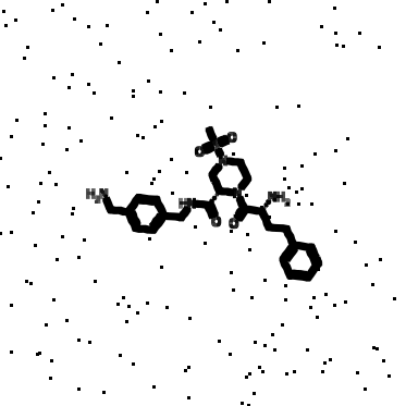 CS(=O)(=O)N1CCN(C(=O)[C@H](N)CCc2ccccc2)[C@H](C(=O)NCc2ccc(CN)cc2)C1